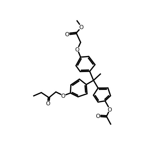 CCC(=O)COc1ccc(C(C)(c2ccc(OCC(=O)OC)cc2)c2ccc(OC(C)=O)cc2)cc1